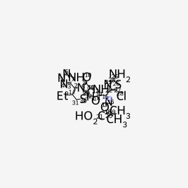 CCC1=C(c2nnn[nH]2)N2C(=O)[C@@H](NC(=O)/C(=N\OC(C)(C)C(=O)O)c3nc(N)sc3Cl)[C@H]2SC1